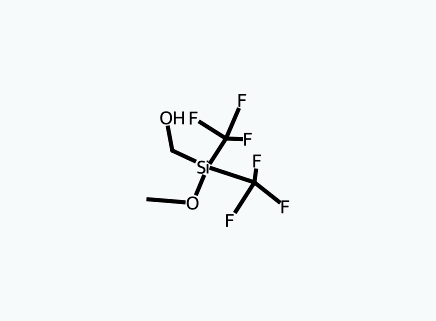 CO[Si](CO)(C(F)(F)F)C(F)(F)F